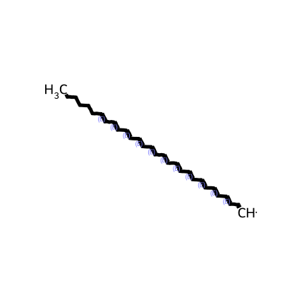 [CH]=C/C=C/C=C/C=C/C=C/C=C/C=C/C=C/C=C/C=C/C=C/C=C/CCCCCC